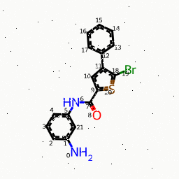 Nc1cccc(NC(=O)c2cc(-c3ccccc3)c(Br)s2)c1